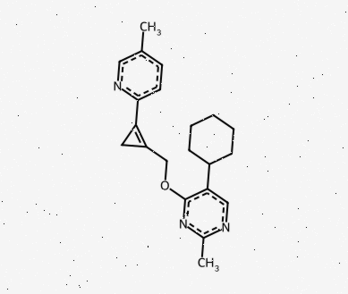 Cc1ccc(C2=C(COc3nc(C)ncc3C3CCCCC3)C2)nc1